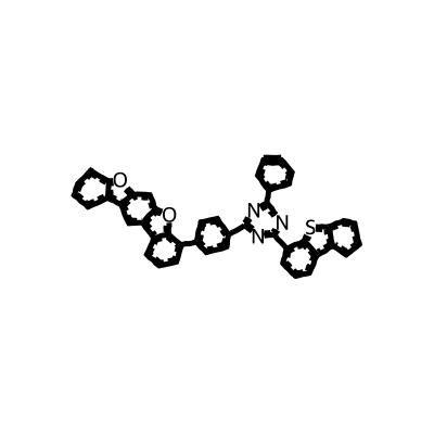 c1ccc(-c2nc(-c3ccc(-c4cccc5c4oc4cc6oc7ccccc7c6cc45)cc3)nc(-c3cccc4c3sc3ccccc34)n2)cc#1